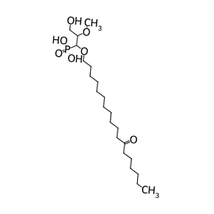 CCCCCCC(=O)CCCCCCCCCCCOC(C(CO)OC)P(=O)(O)O